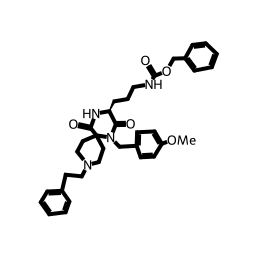 COc1ccc(CN2C(=O)[C@H](CCCNC(=O)OCc3ccccc3)NC(=O)C23CCN(CCc2ccccc2)CC3)cc1